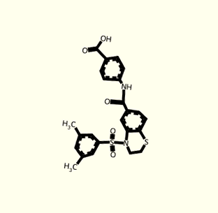 Cc1cc(C)cc(S(=O)(=O)N2CCSc3ccc(C(=O)Nc4ccc(C(=O)O)cc4)cc32)c1